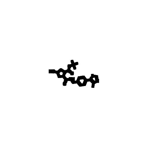 Cc1ncsc1-c1ccc(CNC(=O)C2CC(O)CN2C(=O)OC(C)(C)C)cc1